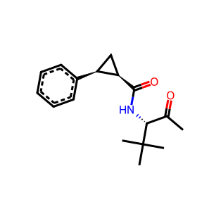 CC(=O)[C@@H](NC(=O)[C@@H]1C[C@@H]1c1ccccc1)C(C)(C)C